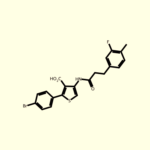 Cc1ccc(CCC(=O)Nc2csc(-c3ccc(Br)cc3)c2C(=O)O)cc1F